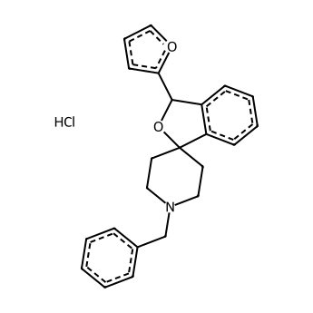 Cl.c1ccc(CN2CCC3(CC2)OC(c2ccco2)c2ccccc23)cc1